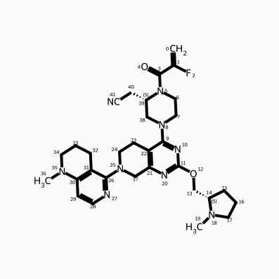 C=C(F)C(=O)N1CCN(c2nc(OC[C@@H]3CCCN3C)nc3c2CCN(c2nccc4c2CCCN4C)C3)C[C@@H]1CC#N